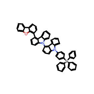 c1ccc([Si](c2ccccc2)(c2ccccc2)c2ccc(-n3c4ccccc4c4c(-n5c6ccccc6c6c(-c7cccc8c7oc7ccccc78)cccc65)cccc43)cc2)cc1